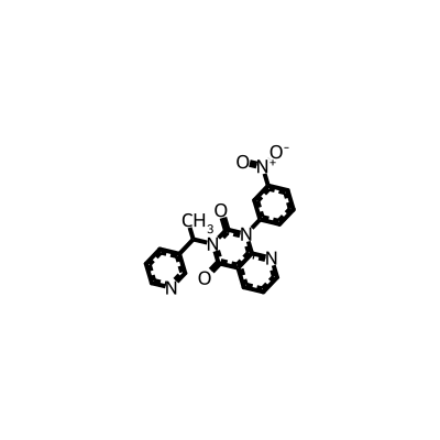 CC(c1cccnc1)n1c(=O)c2cccnc2n(-c2cccc([N+](=O)[O-])c2)c1=O